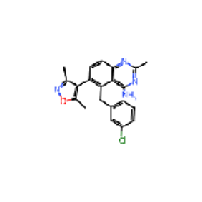 Cc1nc(N)c2c(Cc3cccc(Cl)c3)c(-c3c(C)noc3C)ccc2n1